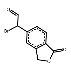 O=CC(Br)c1ccc2c(c1)COC2=O